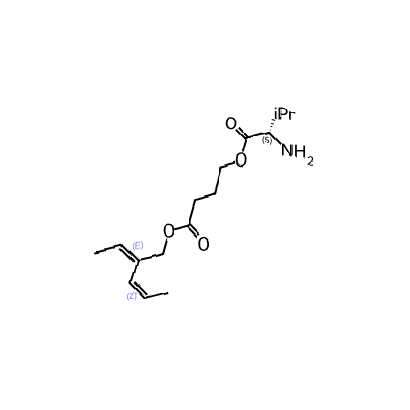 C/C=C\C(=C/C)COC(=O)CCCOC(=O)[C@@H](N)C(C)C